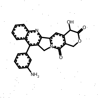 Nc1cccc(-c2c3c(nc4ccccc24)-c2cc4c(c(=O)n2C3)COC(=O)C4O)c1